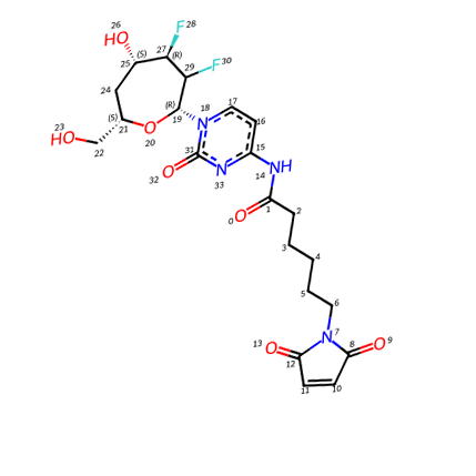 O=C(CCCCCN1C(=O)C=CC1=O)Nc1ccn([C@@H]2O[C@H](CO)C[C@H](O)[C@@H](F)C2F)c(=O)n1